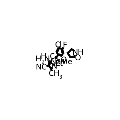 CCOc1c(C(C)(SC)n2nc(C)c(C#N)c2N)cc(Cl)c(F)c1[C@@H]1CNC(=O)C1